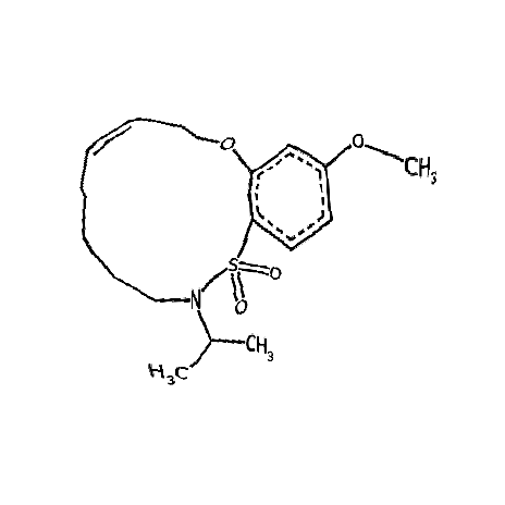 COc1ccc2c(c1)OCC=CCCCCN(C(C)C)S2(=O)=O